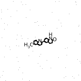 Cc1ccc2nc(-c3ccc4c(c3)CCC(=O)N4)ccc2c1